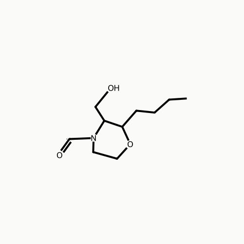 CCCCC1OCCN([C]=O)C1CO